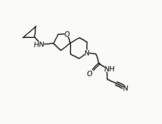 N#CCNC(=O)CN1CCC2(CC1)CC(NC1CC1)CO2